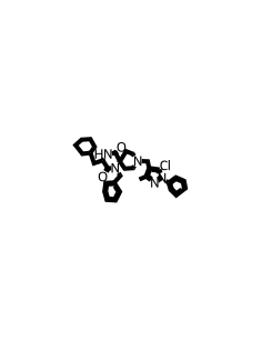 Cc1nn(-c2ccccc2)c(Cl)c1CN1CCC2(CC1)C(=O)NC(CC1CCCCC1)C(=O)N2Cc1ccccc1